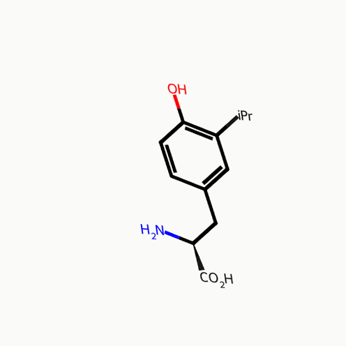 CC(C)c1cc(C[C@H](N)C(=O)O)ccc1O